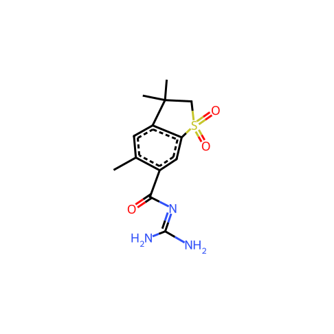 Cc1cc2c(cc1C(=O)N=C(N)N)S(=O)(=O)CC2(C)C